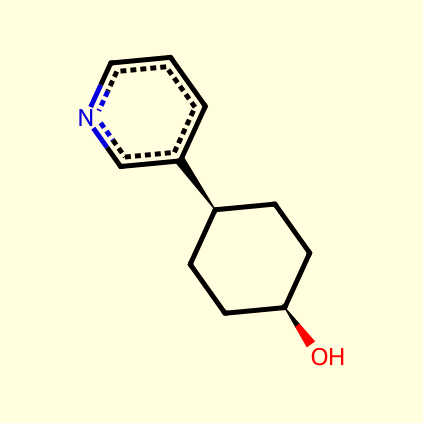 O[C@H]1CC[C@@H](c2cccnc2)CC1